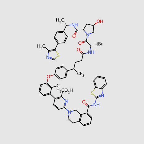 Cc1ncsc1-c1ccc([C@H](C)NC(=O)[C@@H]2C[C@@H](O)CN2C(=O)[C@@H](NC(=O)CC[C@H](c2ccc(Oc3cccc(-c4ccc(N5CCc6cccc(C(=O)Nc7nc8ccccc8s7)c6C5)nc4C(=O)O)c3C)cc2)C(F)(F)F)C(C)(C)C)cc1